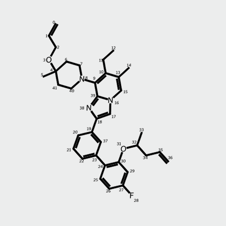 C=CCOC1(C)CCN(c2c(CC)c(C)cn3cc(-c4cccc(-c5ccc(F)cc5OC(C)CC=C)c4)nc23)CC1